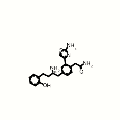 NC(=O)Cc1ccc(C[C@H](N)CCc2ccccc2O)cc1-c1csc(N)n1